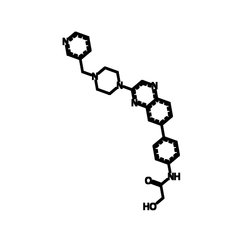 O=C(CO)Nc1ccc(-c2ccc3ncc(N4CCN(Cc5cccnc5)CC4)nc3c2)cc1